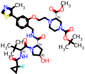 COC(=O)[C@@H]1CN(C(=O)OC(C)(C)C)CCN1CCOc1cc(-c2scnc2C)ccc1CNC(=O)[C@@H]1C[C@@H](O)CN1C(=O)[C@@H](NC(=O)C1(F)CC1)C(C)(C)C